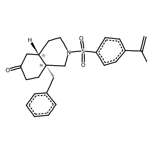 C=C(C)c1ccc(S(=O)(=O)N2CC[C@H]3CC(=O)CC[C@]3(Cc3ccccc3)C2)cc1